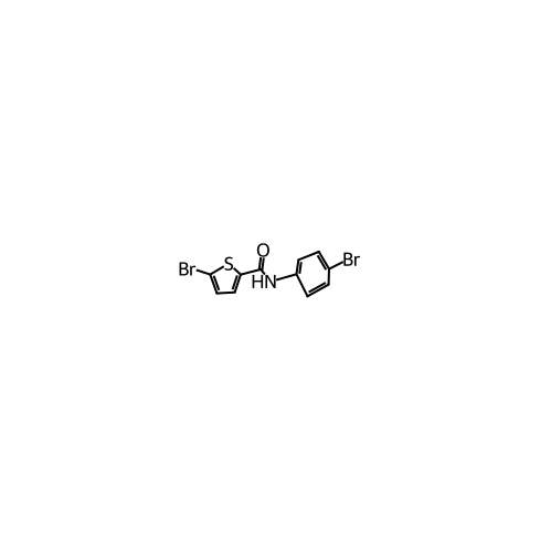 O=C(Nc1ccc(Br)cc1)c1ccc(Br)s1